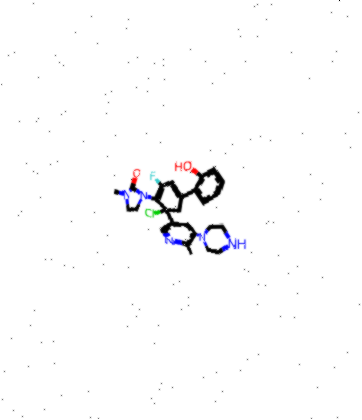 Cc1ncc(C2(Cl)CC(c3ccccc3O)=CC(F)=C2N2CCN(C)C2=O)cc1N1CCNCC1